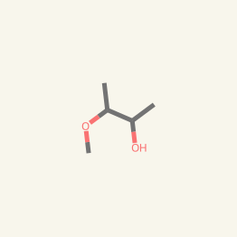 COC(C)C(C)O